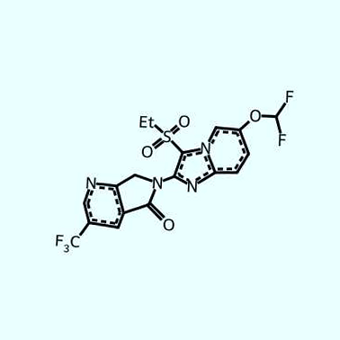 CCS(=O)(=O)c1c(N2Cc3ncc(C(F)(F)F)cc3C2=O)nc2ccc(OC(F)F)cn12